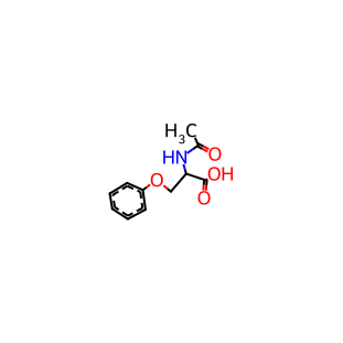 CC(=O)NC(COc1ccccc1)C(=O)O